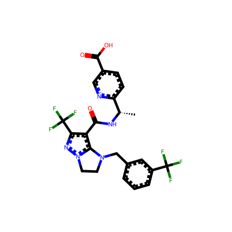 C[C@H](NC(=O)c1c(C(F)(F)F)nn2c1N(Cc1cccc(C(F)(F)F)c1)CC2)c1ccc(C(=O)O)cn1